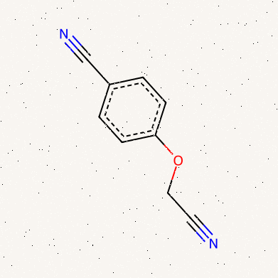 N#CCOc1ccc(C#N)cc1